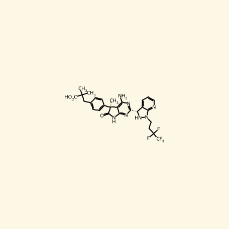 CC(C)(Cc1ccc([C@]2(C)C(=O)Nc3nc([C@H]4NN(CCC(F)(F)C(F)(F)F)c5ncccc54)nc(N)c32)cc1)C(=O)O